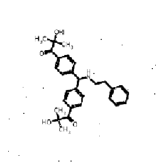 CC(C)(O)C(=O)c1ccc(C(NCCc2ccccc2)c2ccc(C(=O)C(C)(C)O)cc2)cc1